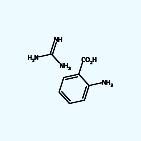 N=C(N)N.Nc1ccccc1C(=O)O